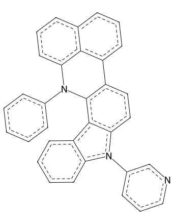 c1ccc(N2c3cccc4cccc(c34)-c3ccc4c(c32)c2ccccc2n4-c2cccnc2)cc1